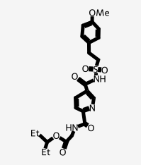 CCC(CC)OC(=O)CNC(=O)c1ccc(C(=O)NS(=O)(=O)CCc2ccc(OC)cc2)cn1